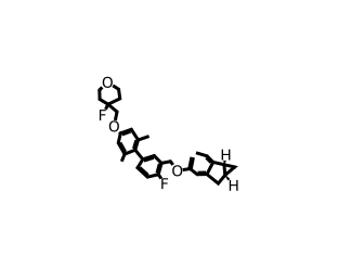 C=C(/C=C1/C[C@H]2C[C@H]2/C1=C/C)OCc1cc(-c2c(C)cc(OCC3(F)CCOCC3)cc2C)ccc1F